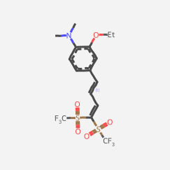 CCOc1cc(/C=C/C=C(S(=O)(=O)C(F)(F)F)S(=O)(=O)C(F)(F)F)ccc1N(C)C